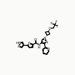 O=C(Nc1cn([C@H]2C[C@H](OCC(F)(F)F)C2)nc1-c1ccccn1)c1ccc(-c2cn[nH]c2)o1